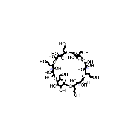 OCCC1OC(O)/C(O)=C(\O)C(CCO)OC2OC(CO)C(OC(O)/C(O)=C(\O)C(CCO)OC(O)/C(O)=C(\O)C(CCO)OC3OC(CO)C(OC(O)/C(O)=C/1O)C(O)C3O)C(O)C2O